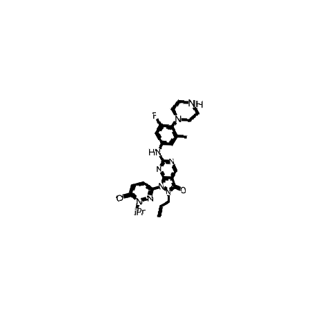 C=CCn1c(=O)c2cnc(Nc3cc(C)c(N4CCNCC4)c(F)c3)nc2n1-c1ccc(=O)n(C(C)C)n1